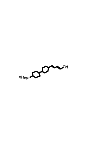 CCCCCCCC1CCC(C2CCC(C=CC=CC#N)CC2)CC1